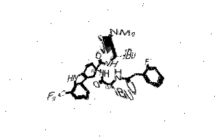 CCC(C)[C@H](NC(=O)Cc1ccccc1F)C(=O)N[C@]1(C(=O)N[C@H](C(=S)NC)C(C)CC)CCc2[nH]c3c(C(F)(F)F)cccc3c2C1